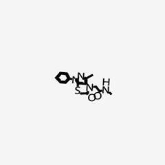 CNC(=O)CN1C(=O)CSc2c1c(C)nn2-c1ccccc1